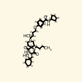 CCCCN1C(=O)[C@@H](CC2(O)CCCCC2)NC(=O)C12CCN(CCCCOc1ccc(C(=O)NC3CCCC3)cc1)CC2.Cl